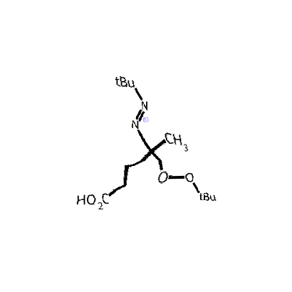 CC(C)(C)/N=N/C(C)(CCC(=O)O)OOC(C)(C)C